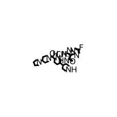 CN1CC(C2CCNCC2NC(=O)c2c(N)nn3cc(F)cnc23)CCC1C(=O)N1CCC(N2CCCC2)CC1